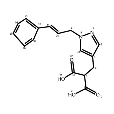 O=C(O)C(Cc1cnn(CC=Cc2ccccc2)c1)C(=O)O